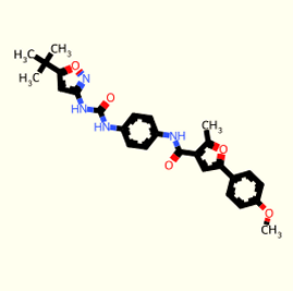 COc1ccc(-c2cc(C(=O)Nc3ccc(NC(=O)Nc4cc(C(C)(C)C)on4)cc3)c(C)o2)cc1